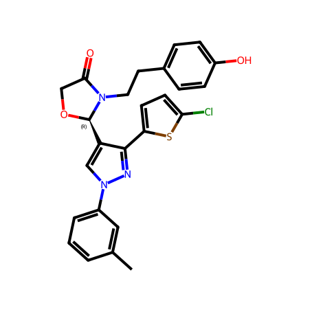 Cc1cccc(-n2cc([C@H]3OCC(=O)N3CCc3ccc(O)cc3)c(-c3ccc(Cl)s3)n2)c1